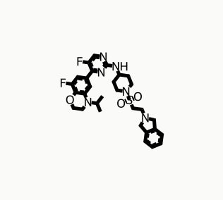 CC(C)N1CCOc2c(F)cc(-c3nc(NC4CCN(S(=O)(=O)CCN5Cc6ccccc6C5)CC4)ncc3F)cc21